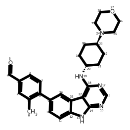 Cc1cc(C=O)ccc1-c1ccc2[nH]c3ncnc(N[C@H]4CC[C@H](N5CCOCC5)CC4)c3c2c1